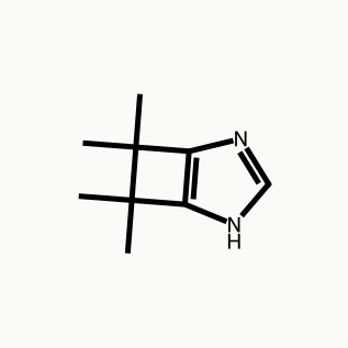 CC1(C)c2nc[nH]c2C1(C)C